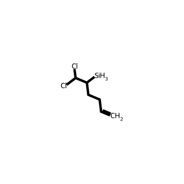 C=CCCC([SiH3])C(Cl)Cl